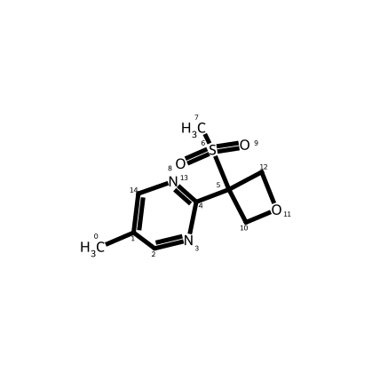 Cc1cnc(C2(S(C)(=O)=O)COC2)nc1